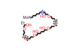 CCC(O)COCCC[Si](C)(C)O[Si](C)(C)CCCOCC(O)CCCC(O)COCCC[Si](C)(C)O[Si](C)(C)CCCOCC(O)C[N+](C)(C)CCCCCCNC